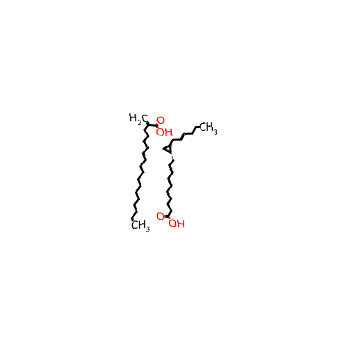 C=C(CCCCCCCCCCCCCCCC)C(=O)O.CCCCCCC1C[C@H]1CCCCCCCCCC(=O)O